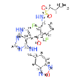 CCCS(=O)(=O)Nc1ccc(F)c(C(=O)c2c[nH]c3ncnc(NCc4ccc5nonc5c4)c23)c1F